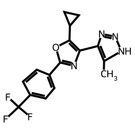 Cc1[nH]nnc1-c1nc(-c2ccc(C(F)(F)F)cc2)oc1C1CC1